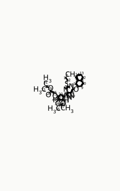 CCCSc1nc(Oc2ccc3ccccc3c2)c2nnn([C@@H]3C[C@H](OCC(=O)OC(C)C)[C@H]4OC(C)(C)O[C@H]43)c2n1